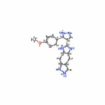 COc1ccc(-c2[nH]ncc2-c2nc3cc4c[nH]nc4cc3[nH]2)cc1